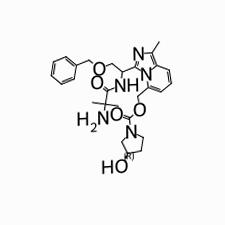 Cc1nc(C(COCc2ccccc2)NC(=O)C(C)(C)N)n2c(COC(=O)N3CC[C@@H](O)C3)cccc12